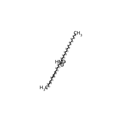 CCCCCCCCCCCCCCCCCC(=O)NC(=O)CCCCCCCCCCCCCCC